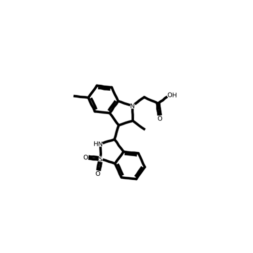 Cc1ccc2c(c1)C(C1NS(=O)(=O)c3ccccc31)C(C)N2CC(=O)O